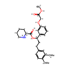 COc1ccc(CC[C@@H](OC(=O)[C@@H]2CCCCN2)c2cccc(OCC(=O)OC(C)(C)C)c2)cc1OC